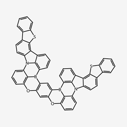 c1cc2c3c(c1)-n1c4ccc5c6ccccc6sc5c4c4cccc(c41)B3c1cc3c(cc1O2)Oc1cccc2c1B3c1cccc3c4c5sc6ccccc6c5ccc4n-2c13